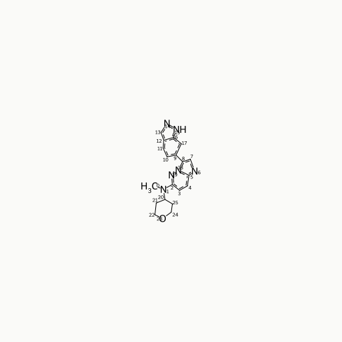 CN(c1ccc2ncc(-c3ccc4cn[nH]c4c3)n2n1)C1CCOCC1